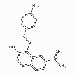 C=[N+](C)c1ccc2ccc(O)c(N=Nc3ccc(N)cc3)c2c1